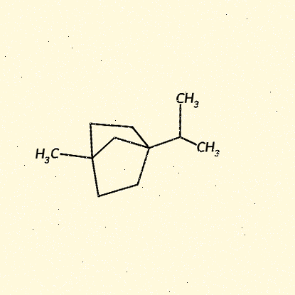 CC(C)C12CCC(C)(CC1)C2